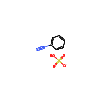 N#[N+]c1ccccc1.O=S(=O)([O-])O